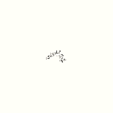 [Li+].[S-2].[S-2].[S-2].[V+5]